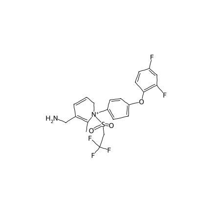 CC1=C(CN)C=CC[N+]1(c1ccc(Oc2ccc(F)cc2F)cc1)S(=O)(=O)CC(F)(F)F